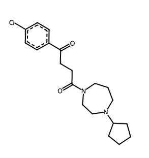 O=C(CCC(=O)N1CCCN(C2CCCC2)CC1)c1ccc(Cl)cc1